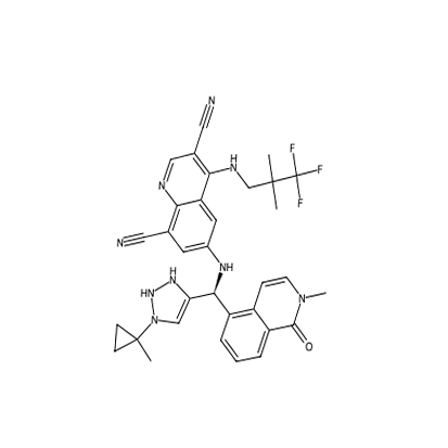 Cn1ccc2c([C@H](Nc3cc(C#N)c4ncc(C#N)c(NCC(C)(C)C(F)(F)F)c4c3)C3=CN(C4(C)CC4)NN3)cccc2c1=O